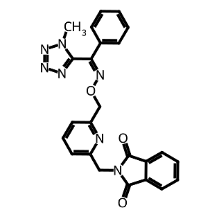 Cn1nnnc1C(=NOCc1cccc(CN2C(=O)c3ccccc3C2=O)n1)c1ccccc1